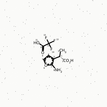 C[C@H](C(=O)O)c1ccoc1N.O=C(O)C(F)(F)F